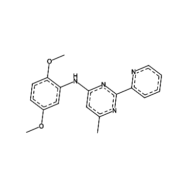 COc1ccc(OC)c(Nc2cc(C)nc(-c3ccccn3)n2)c1